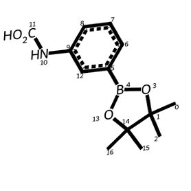 CC1(C)OB(c2cccc(NC(=O)O)c2)OC1(C)C